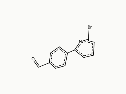 O=Cc1ccc(-c2cccc(Br)n2)cc1